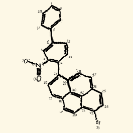 O=[N+]([O-])c1cc(-c2ccccc2)ccc1-c1ccc2ccc3c(Br)ccc4ccc1c2c43